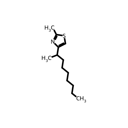 CCCCCCCC(C)c1csc(C)n1